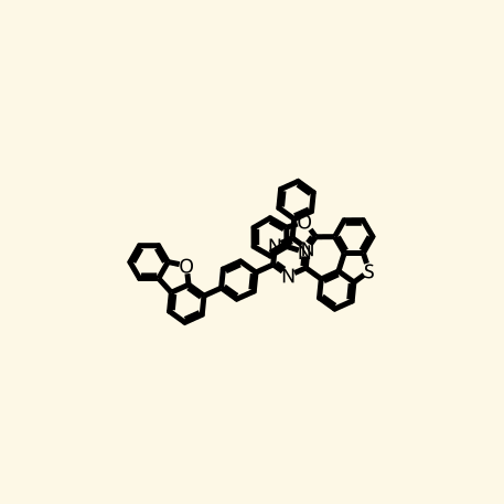 c1ccc(-c2nc(-c3ccc(-c4cccc5c4oc4ccccc45)cc3)nc(-c3cccc4sc5cccc(-c6nc7ccccc7o6)c5c34)n2)cc1